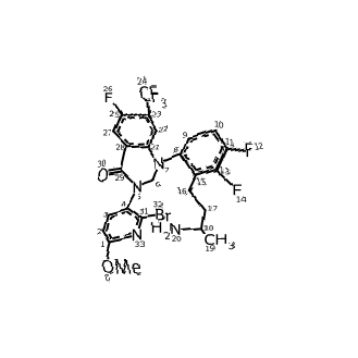 COc1ccc(N2CN(c3ccc(F)c(F)c3CCC(C)N)c3cc(C(F)(F)F)c(F)cc3C2=O)c(Br)n1